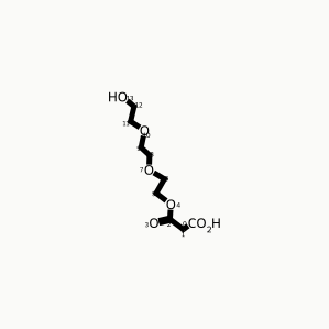 O=C(O)CC(=O)OCCOCCOCCO